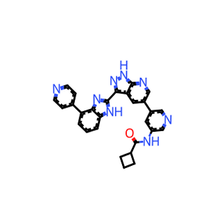 O=C(Nc1cncc(-c2cnc3[nH]nc(-c4nc5c(-c6ccncc6)cccc5[nH]4)c3c2)c1)C1CCC1